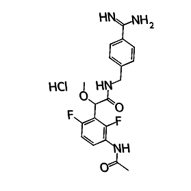 COC(C(=O)NCc1ccc(C(=N)N)cc1)c1c(F)ccc(NC(C)=O)c1F.Cl